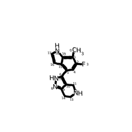 Cc1c(F)cc(-c2[nH]nc3c2CNCC3)c2cc[nH]c12